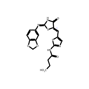 O=C(O)CCC(=O)Nc1ncc(/C=C2\SC(=Nc3ccc4c(c3)OCO4)NC2=O)s1